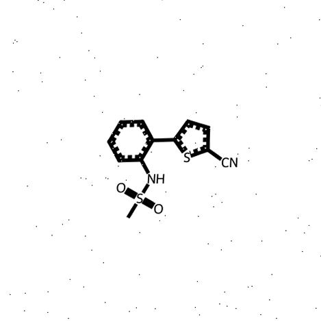 CS(=O)(=O)Nc1ccccc1-c1ccc(C#N)s1